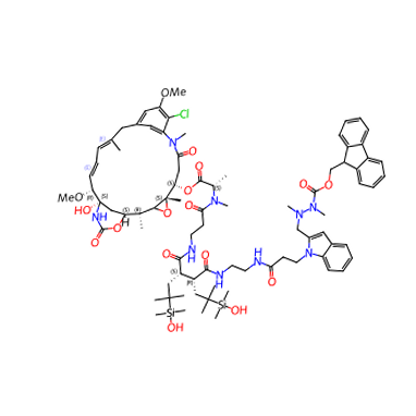 COc1cc2cc(c1Cl)N(C)C(=O)C[C@H](OC(=O)[C@H](C)N(C)C(=O)CCNC(=O)[C@@H](CC(C)(C)[Si](C)(C)O)[C@@H](CC(C)(C)[Si](C)(C)O)C(=O)NCCNC(=O)CCn1c(CN(C)N(C)C(=O)OCC3c4ccccc4-c4ccccc43)cc3ccccc31)[C@]1(C)OC1[C@H](C)[C@@H]1C[C@@](O)(NC(=O)O1)[C@H](OC)/C=C/C=C(\C)C2